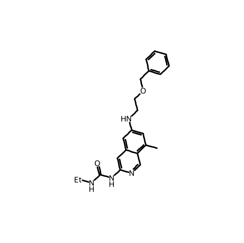 CCNC(=O)Nc1cc2cc(NCCOCc3ccccc3)cc(C)c2cn1